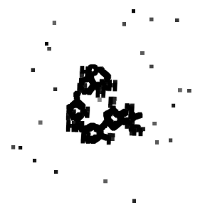 Cc1nc2c(F)cc(-c3cc(Nc4ncc(CN5C[C@@H]6NCCO[C@@H]6C5)cn4)ncc3F)cc2n1C(C)C